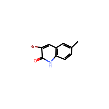 Cc1ccc2[nH]c(=O)c(Br)cc2c1